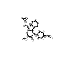 N#Cc1cc2c(c3ccccc3n2CC2CO2)n(-c2ccc([N+](=O)[O-])cc2)c1=O